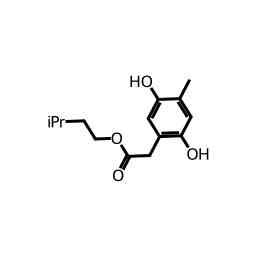 Cc1cc(O)c(CC(=O)OCCC(C)C)cc1O